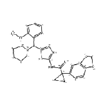 COc1ccccc1C(c1cnc(NC(=O)C2(c3ccc4c(c3)OCO4)CC2)s1)N1CCCCC1